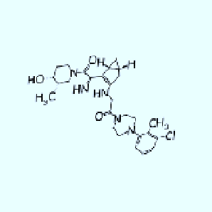 Cc1c(Cl)cccc1N1CCN(C(=O)CNC2=C(C(=N)C(=O)N3CC[C@@H](O)[C@@H](C)C3)[C@@H]3C[C@@H]3C2)CC1